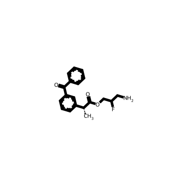 C[C@@H](C(=O)OCC(F)CN)c1cccc(C(=O)c2ccccc2)c1